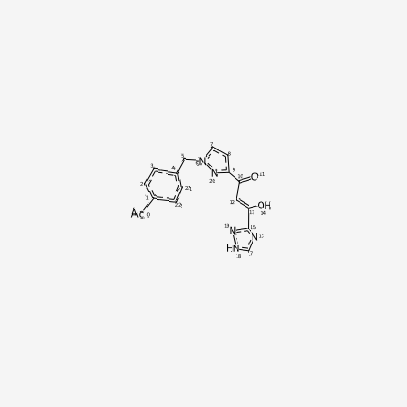 CC(=O)c1ccc(Cn2ccc(C(=O)C=C(O)c3nc[nH]n3)n2)cc1